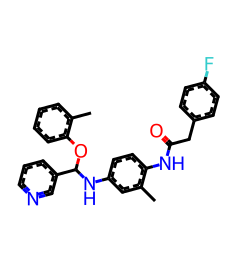 Cc1cc(NC(Oc2ccccc2C)c2cccnc2)ccc1NC(=O)Cc1ccc(F)cc1